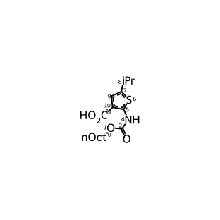 CCCCCCCCOC(=O)Nc1sc(C(C)C)cc1C(=O)O